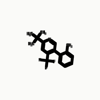 Cc1ccccc1-c1cnc(C(C)(C)C)cc1C(F)(F)F